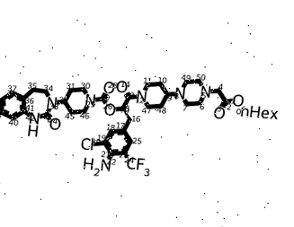 CCCCCCOC(=O)CN1CCN(C2CCN(C(=O)[C@@H](Cc3cc(Cl)c(N)c(C(F)(F)F)c3)OC(=O)N3CCC(N4CCc5ccccc5NC4=O)CC3)CC2)CC1